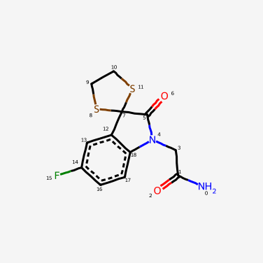 NC(=O)CN1C(=O)C2(SCCS2)c2cc(F)ccc21